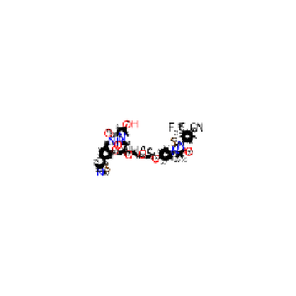 CC(=O)NCC(=O)N1C[C@H](O)C[C@H]1C(=O)NCc1ccc(-c2scnc2C)cc1OCCOCCOCCOc1ccc(N2C(=S)N(c3ccc(C#N)c(C(F)(F)F)c3)C(=O)C2(C)C)cc1